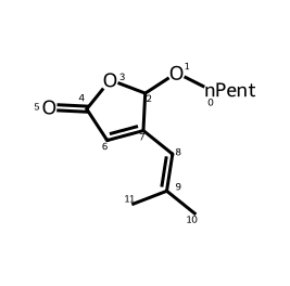 CCCCCOC1OC(=O)C=C1C=C(C)C